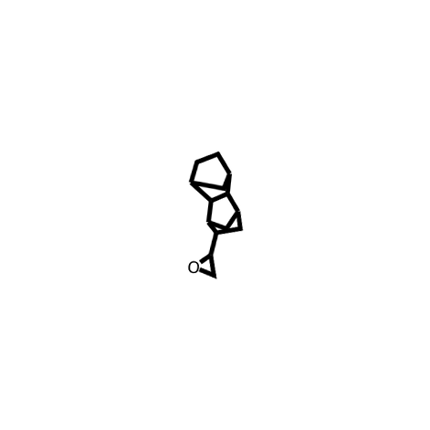 C1CC2CC1C1C3CC(C4CO4)C(C3)C21